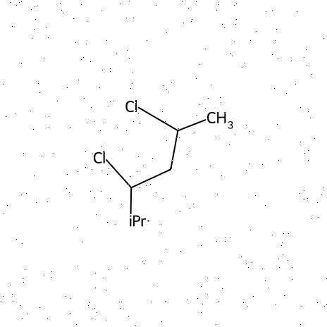 C[C](C)C(Cl)CC(C)Cl